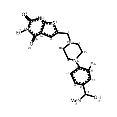 CCn1c(=O)[nH]c2sc(CN3CCN(c4ccc(C(O)NC)cc4F)CC3)cc2c1=O